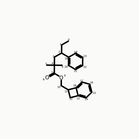 CCC(CC(C)(C)C(=O)OCC1Cc2ccccc21)c1ccccc1